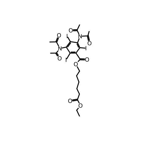 CCOC(=O)CCCCCOC(=O)c1c(I)c(N(C(C)=O)C(C)=O)c(I)c(N(C(C)=O)C(C)=O)c1I